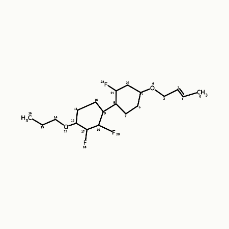 CC=CCOC1CCC(C2CCC(OCCC)C(F)C2F)C(F)C1